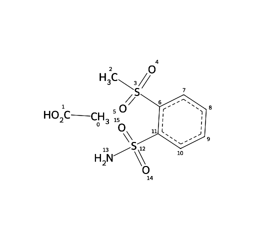 CC(=O)O.CS(=O)(=O)c1ccccc1S(N)(=O)=O